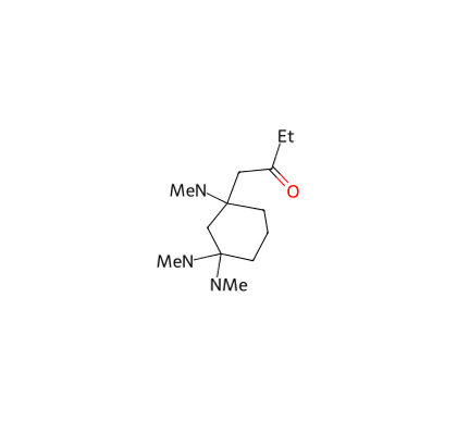 CCC(=O)CC1(NC)CCCC(NC)(NC)C1